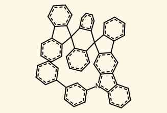 c1ccc(-c2cccc(-n3c4ccccc4c4cc5c(cc43)C3(c4ccccc4-5)c4ccccc4C4(c5ccccc5-c5ccccc54)c4ccccc43)c2)cc1